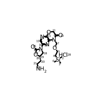 C[Si](C)(C)CCOCN1C(=O)COc2ncc(N3C[C@@H](CCN)OC3=O)nc21.Cl